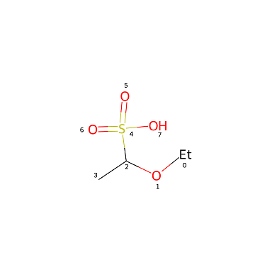 CCOC(C)S(=O)(=O)O